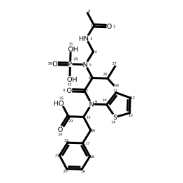 CC(=O)NCN(C(C(=O)N(c1cccs1)C(Cc1ccccc1)C(=O)O)C(C)C)P(=O)(O)O